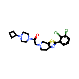 O=C(CN1CCc2nc(-c3cccc(Cl)c3Cl)sc2C1)N1CCN(C2CCC2)CC1